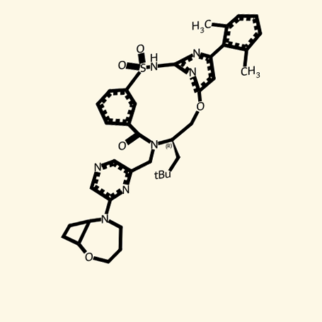 Cc1cccc(C)c1-c1cc2nc(n1)NS(=O)(=O)c1cccc(c1)C(=O)N(Cc1cncc(N3CCCOC4CCC43)n1)[C@H](CC(C)(C)C)CO2